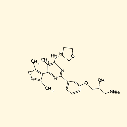 CNCC(O)COc1cccc(-c2nc(N[C@@H]3CCOC3)c(C)c(-c3c(C)noc3C)n2)c1